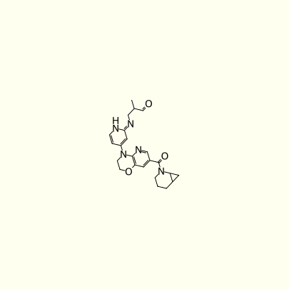 CC(C=O)C/N=c1/cc(N2CCOc3cc(C(=O)N4CCCC5CC54)cnc32)cc[nH]1